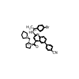 C[C@H](Nc1cc(C(=O)N2CCC[C@H]2CN2CCCC2)c2cc(-c3ccc(C#N)cc3)ccc2n1)c1ccc(Br)cc1